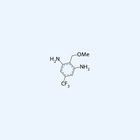 COCc1c(N)cc(C(F)(F)F)cc1N